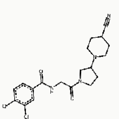 N#CC1CCN(C2CCN(C(=O)CNC(=O)c3ccc(Cl)c(Cl)c3)C2)CC1